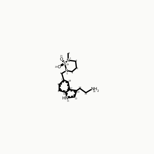 CN1CCCN(Cc2ccc3[nH]cc(CCN)c3c2)S1(=O)=O